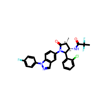 C[C@H]1C(=O)N(c2ccc3c(cnn3-c3ccc(F)cc3)c2)C(c2ccccc2Cl)[C@H]1NC(=O)C(C)(F)F